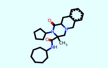 CC1(C(=O)NC2CCCCCC2)CN2Cc3ccccc3CC2C(=O)N1C1CCCC1